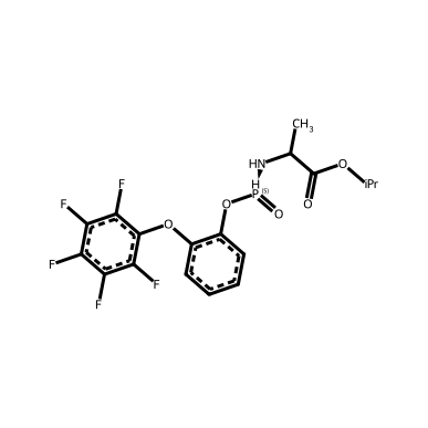 CC(C)OC(=O)C(C)N[P@@H](=O)Oc1ccccc1Oc1c(F)c(F)c(F)c(F)c1F